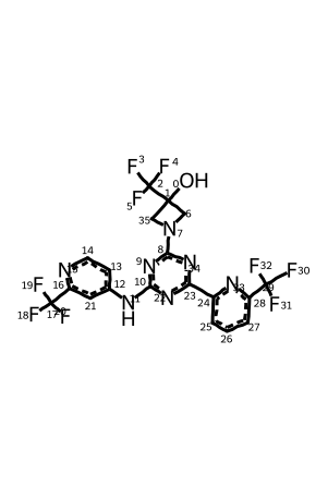 OC1(C(F)(F)F)CN(c2nc(Nc3ccnc(C(F)(F)F)c3)nc(-c3cccc(C(F)(F)F)n3)n2)C1